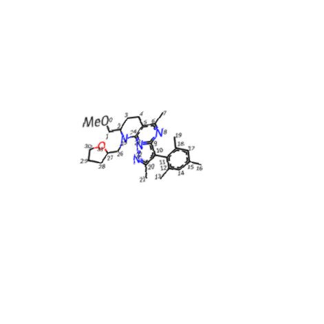 COCC1CCc2c(C)nc3c(-c4c(C)cc(C)cc4C)c(C)nn3c2N1CC1CCCO1